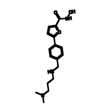 CN(C)CCCNCc1ccc(-c2ccc(C(=O)NO)o2)cc1